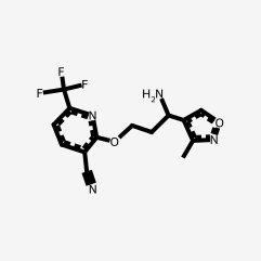 Cc1nocc1C(N)CCOc1nc(C(F)(F)F)ccc1C#N